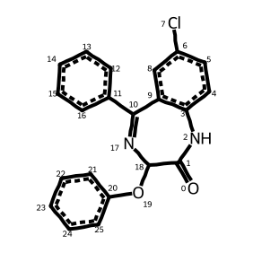 O=C1Nc2ccc(Cl)cc2C(c2ccccc2)=NC1Oc1ccccc1